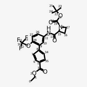 CCOC(=O)c1ccc(-c2cc(NC(=O)C3CCN3C(=O)OC(C)(C)C)ccc2OC(F)(F)F)cc1